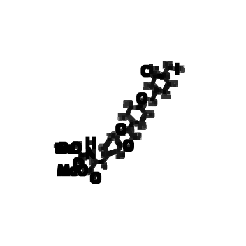 COC(=O)[C@H](Cc1ccc2c(c1)OCC(c1ccc(OCc3ccc(CI)c(Cl)c3)cc1)O2)NC(=O)OC(C)(C)C